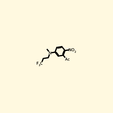 CC(=O)c1cc(N(C)CCC(F)(F)F)ccc1[N+](=O)[O-]